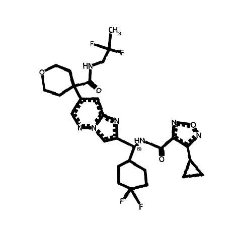 CC(F)(F)CNC(=O)C1(c2cnn3cc([C@@H](NC(=O)c4nonc4C4CC4)C4CCC(F)(F)CC4)nc3c2)CCOCC1